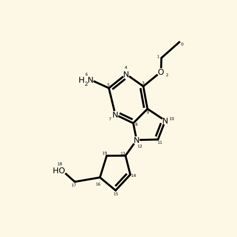 CCOc1nc(N)nc2c1ncn2C1C=CC(CO)C1